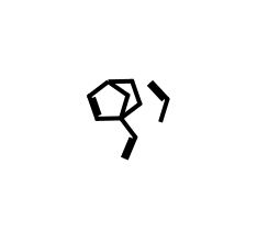 C=CC.C=CC12C=CC(CC1)C2